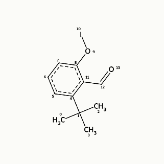 CC(C)(C)c1cccc(OI)c1C=O